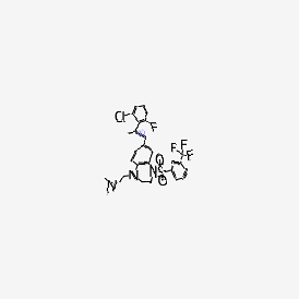 C/C(=C\c1ccc2c(c1)N(S(=O)(=O)c1cccc(C(F)(F)F)c1)CCN2CCN(C)C)c1c(F)cccc1Cl